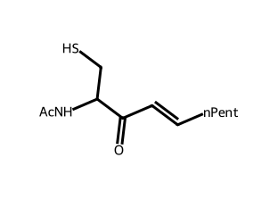 CCCCCC=CC(=O)C(CS)NC(C)=O